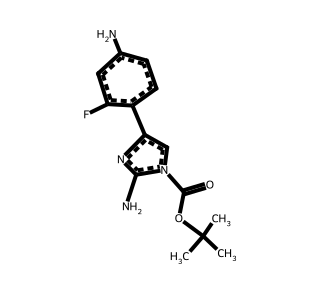 CC(C)(C)OC(=O)n1cc(-c2ccc(N)cc2F)nc1N